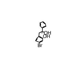 Oc1cc(Br)ccc1C[C@H](O)c1ccccc1